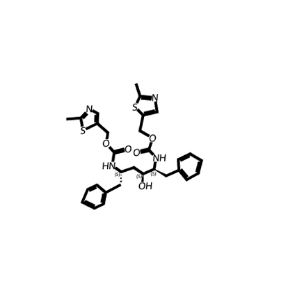 Cc1ncc(COC(=O)N[C@@H](Cc2ccccc2)C[C@H](O)[C@H](Cc2ccccc2)NC(=O)OCc2cnc(C)s2)s1